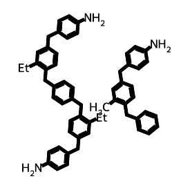 CCc1cc(Cc2ccc(N)cc2)ccc1Cc1ccc(Cc2ccc(Cc3ccc(N)cc3)cc2CC)cc1.Cc1cc(Cc2ccc(N)cc2)ccc1Cc1ccccc1